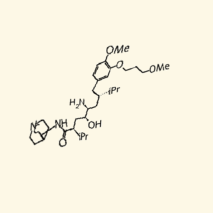 COCCCOc1cc(C[C@@H](C[C@H](N)[C@@H](O)C[C@H](C(=O)NC2CN3CCC2CC3)C(C)C)C(C)C)ccc1OC